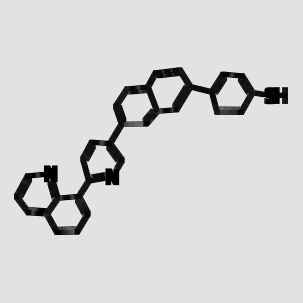 Sc1ccc(-c2ccc3ccc(-c4ccc(-c5cccc6cccnc56)nc4)cc3c2)cc1